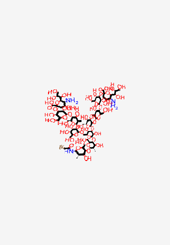 CC1C(O)[C@H](O[C@@H]2OC(CO)[C@H](O)C(O[C@]3(C(=O)O)C[C@@H](O)[C@@H](N)C([C@H](O)[C@H](O)CO)O3)[C@@H]2O)[C@H](CO)O[C@H]1O[C@@H]1C(O)[C@H](O)C(CO)O[C@@H]1OCC1O[C@@H](O[C@@H]2C(CO)O[C@@H](O[C@@H]3C(CO)O[C@@H](NC(=O)CBr)[C@@H](C)C3O)[C@@H](C)C2O)[C@H](O)C(O[C@H]2O[C@H](CO)[C@@H](O)C(O)C2O[C@@H]2OC(CO)[C@@H](O[C@@H]3OC(CO)[C@H](O)C(O[C@]4(C(=O)O)C[C@@H](O)[C@@H](N)C([C@H](O)[C@H](O)CO)O4)[C@@H]3O)C(O)[C@@H]2C)[C@@H]1O